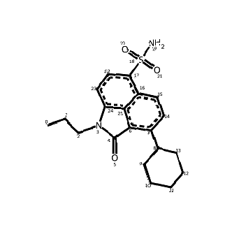 CCCN1C(=O)c2c(C3CCCCC3)ccc3c(S(N)(=O)=O)ccc1c23